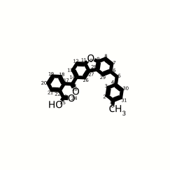 Cc1ccc(Cc2ccc3oc4ccc(C(=O)c5ccccc5C(=O)O)cc4c3c2)cc1